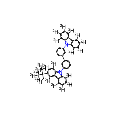 [2H]CC(c1c([2H])c([2H])c2c(c1[2H])c1c([2H])c([2H])c([2H])c([2H])c1n2-c1cccc(-c2cccc(-n3c4c([2H])c([2H])c([2H])c([2H])c4c4c([2H])c([2H])c([2H])c([2H])c43)c2)c1)(C([2H])([2H])[2H])C([2H])([2H])[2H]